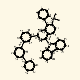 C[Si]1(C)c2ccccc2-c2c1ccc1c(-n3c4ccccc4c4ccccc43)nc(-c3cccc(-c4cccc(-c5ccccc5)c4)c3)nc21